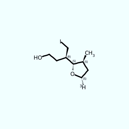 [3H][C@H]1C[C@H](C)[C@@H]([C@H](CI)CCO)O1